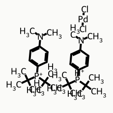 CN(C)c1ccc([PH+](C(C)(C)C)C(C)(C)C)cc1.CN(C)c1ccc([PH+](C(C)(C)C)C(C)(C)C)cc1.[Cl][Pd][Cl]